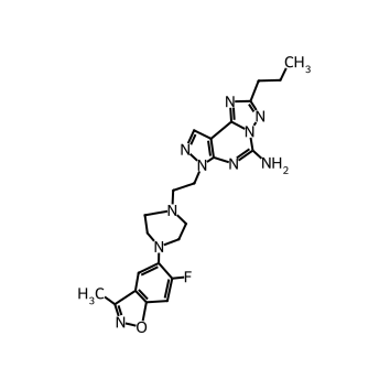 CCCc1nc2c3cnn(CCN4CCN(c5cc6c(C)noc6cc5F)CC4)c3nc(N)n2n1